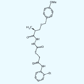 CCc1ccccc1NC(=O)CSC(=O)NNC(=O)[C@@H](C)COCc1ccc(OC)cc1